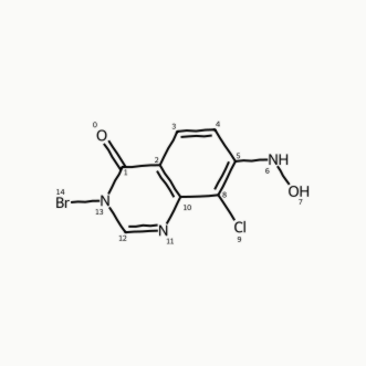 O=c1c2ccc(NO)c(Cl)c2ncn1Br